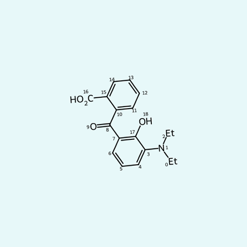 CCN(CC)c1cccc(C(=O)c2ccccc2C(=O)O)c1O